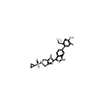 CCc1cc(O)c(F)cc1-c1ccc2c(-c3nc4c([nH]3)CN(S(=O)(=O)C3CC3)C4)n[nH]c2c1